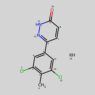 Cc1c(Cl)cc(-c2ccc(=O)[nH]n2)cc1Cl.[KH]